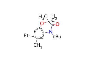 CCCCN1C(=O)C(C)(C)Oc2cc(CC)c(C)cc21